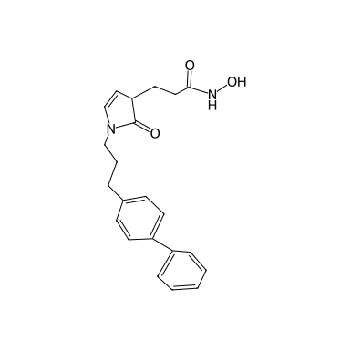 O=C(CCC1C=CN(CCCc2ccc(-c3ccccc3)cc2)C1=O)NO